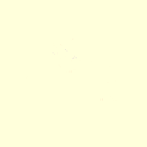 Cc1ccsc1-c1ccc(CNC(=O)[C@@H]2C[C@@H](O)CN2C(=O)[C@@H](NC(=O)COCc2ccc(Oc3ccc(C(=O)O)cc3)cc2)C(C)(C)C)cc1